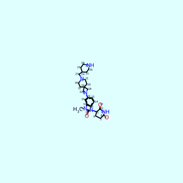 Cn1c(=O)n(C2CCC(=O)NC2=O)c2ccc(N3CC4(CCN(CC5CCNCC5)CC4)C3)cc21